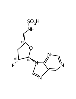 O=S(=O)(O)NC[C@@H]1C[C@@H](F)[C@H](n2cnc3cncnc32)O1